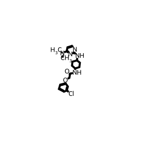 CN(C)c1ccnc(NC2CCC(NC(=O)COc3cccc(Cl)c3)CC2)n1